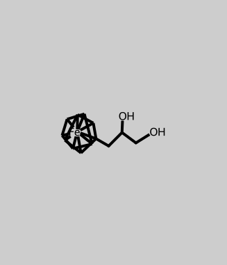 OCC(O)C[C]12[CH]3[CH]4[CH]5[CH]1[Fe]45321678[CH]2[CH]1[CH]6[CH]7[CH]28